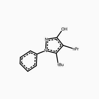 CCCc1c(O)nn(-c2ccccc2)c1C(C)(C)C